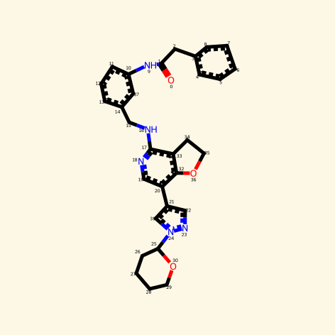 O=C(Cc1ccccc1)Nc1cccc(CNc2ncc(-c3cnn(C4CCCCO4)c3)c3c2CCO3)c1